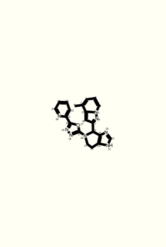 Cc1cccn2nc(C3c4nc[nH]c4CCN3c3nnc(-c4ccccn4)o3)cc12